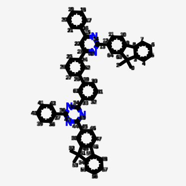 CC1(C)c2ccccc2-c2ccc(-c3nc(-c4ccccc4)cc(-c4cccc(-c5cccc(-c6nc(-c7ccccc7)nc(-c7ccc8c(c7)C(C)(C)c7ccccc7-8)n6)c5)c4)n3)cc21